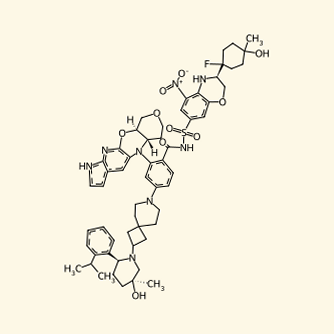 CC(C)c1ccccc1[C@@H]1CC[C@](C)(O)CN1C1CC2(CCN(c3ccc(C(=O)NS(=O)(=O)c4cc5c(c([N+](=O)[O-])c4)N[C@@H](C4(F)CCC(C)(O)CC4)CO5)c(N4c5cc6cc[nH]c6nc5O[C@H]5COCC[C@@H]54)c3)CC2)C1